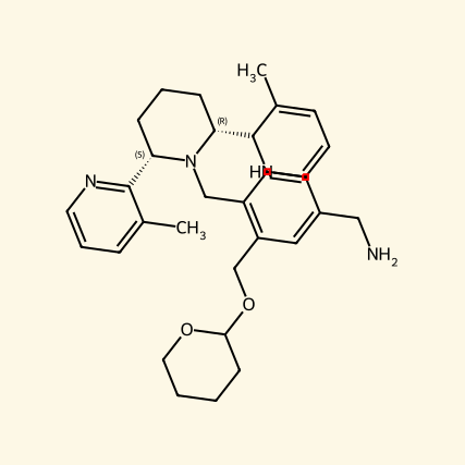 CC1=CC=CNC1[C@H]1CCC[C@@H](c2ncccc2C)N1Cc1ccc(CN)cc1COC1CCCCO1